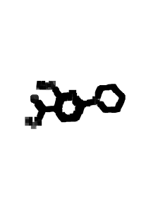 CNc1nc(N2CCCCC2)ccc1C(N)=O